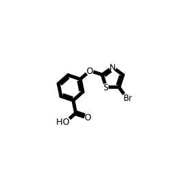 O=C(O)c1cccc(Oc2ncc(Br)s2)c1